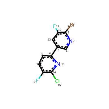 Fc1c[c]c(-c2cnc(Br)c(F)c2)nc1Cl